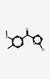 COc1cc(C(=O)c2ccc(Cl)s2)ccc1C